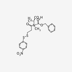 C[C@@H](C(=O)O)[N+](C)(C(=O)CCSSc1ccc([N+](=O)[O-])cc1)C(=O)OCc1ccccc1